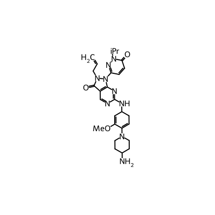 C=CCn1c(=O)c2cnc(NC3C=C(OC)C(N4CCC(N)CC4)=CC3)nc2n1-c1ccc(=O)n(C(C)C)n1